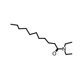 CCCCCCCCCCC(=O)N(CC)CC